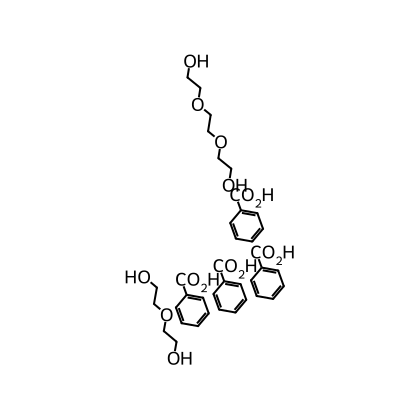 O=C(O)c1ccccc1.O=C(O)c1ccccc1.O=C(O)c1ccccc1.O=C(O)c1ccccc1.OCCOCCO.OCCOCCOCCO